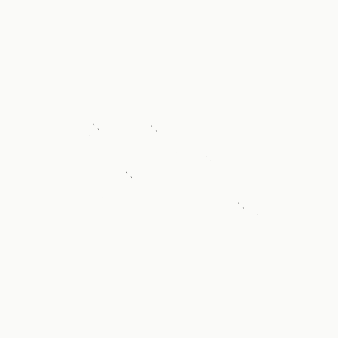 Cn1c(N)nc2sc(N)cc21